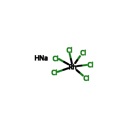 [Cl][Rh]([Cl])([Cl])([Cl])([Cl])[Cl].[NaH]